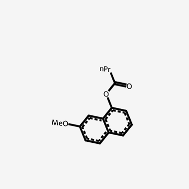 CCCC(=O)Oc1cccc2ccc(OC)cc12